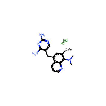 COc1cc(Cc2cnc(N)nc2N)c2cccnc2c1N(C)C.Cl.Cl